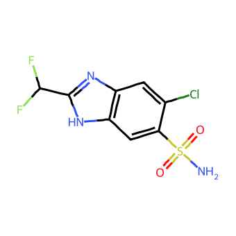 NS(=O)(=O)c1cc2[nH]c(C(F)F)nc2cc1Cl